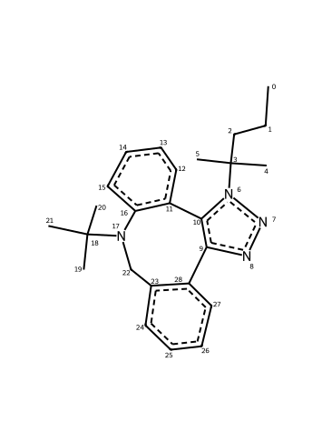 CCCC(C)(C)n1nnc2c1-c1ccccc1N(C(C)(C)C)Cc1ccccc1-2